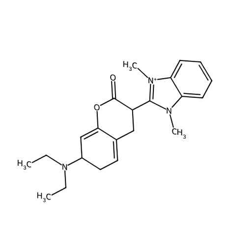 CCN(CC)C1C=C2OC(=O)C(c3n(C)c4ccccc4[n+]3C)CC2=CC1